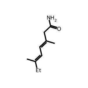 CC/C(C)=C/C=C(\C)CC(N)=O